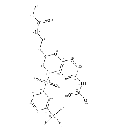 CCC(=O)NCCC1CN(S(=O)(=O)c2cccc(C(F)(F)F)c2)c2cc(NC(=O)O)ccc2O1